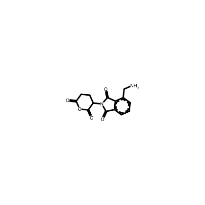 NCc1cccc2c1C(=O)N(C1CCC(=O)OC1=O)C2=O